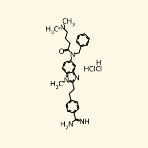 CN(C)CCCC(=O)N(Cc1ccccc1)c1ccc2c(c1)nc(CCc1ccc(C(=N)N)cc1)n2C.Cl.Cl